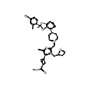 COC(=O)C12CC(c3c(C)nc(CN4CCC(c5cccc6c5OC(C)(c5ccc(Cl)cc5F)O6)CC4)n3CC3CCO3)(C1)C2